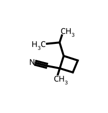 CC(C)C1CCC1(C)C#N